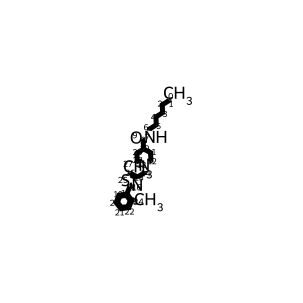 CCCCCCCNC(=O)C1CCN(Cc2nc(-c3ccccc3C)sc2C)CC1